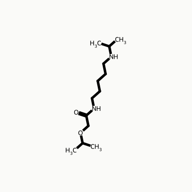 CC(C)NCCCCCNC(=O)COC(C)C